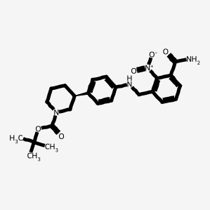 CC(C)(C)OC(=O)N1CCC[C@@H](c2ccc(NCc3cccc(C(N)=O)c3[N+](=O)[O-])cc2)C1